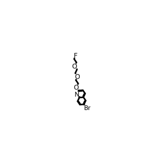 FCCOCCOCCOc1ccc2cc(Br)ccc2n1